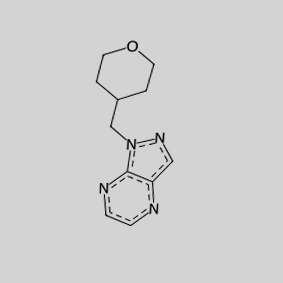 c1cnc2c(cnn2CC2CCOCC2)n1